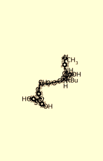 Cc1ncsc1-c1ccc(CNC(=O)[C@@H]2C[C@@H](O)CN2C(=O)[C@@H](NC(=O)COCCOCCOCCCN(C)CCOc2ccc(C(=O)c3c(-c4ccc(O)cc4)sc4cc(O)ccc34)cc2)C(C)(C)C)cc1